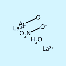 CC(=O)[O-].O.O=[N+]([O-])[O-].[La+3].[La+3]